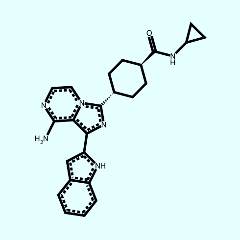 Nc1nccn2c1c(-c1cc3ccccc3[nH]1)nc2[C@H]1CC[C@H](C(=O)NC2CC2)CC1